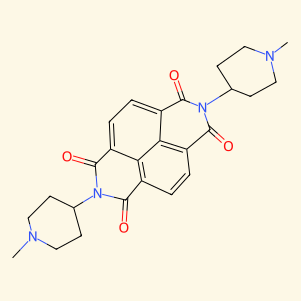 CN1CCC(N2C(=O)c3ccc4c5c(ccc(c35)C2=O)C(=O)N(C2CCN(C)CC2)C4=O)CC1